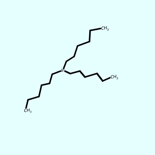 CCCCC[CH2][In]([CH2]CCCCC)[CH2]CCCCC